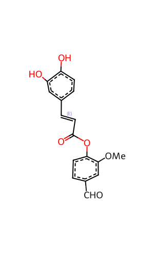 COc1cc(C=O)ccc1OC(=O)/C=C/c1ccc(O)c(O)c1